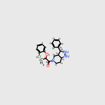 CC(Oc1ccccc1Cl)C(=O)N1CCC2NNC(c3ccccc3)C2C1